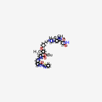 Cc1c(OC2CCC(CCCN3CCN(c4ccc5c(C6CCC(=O)NC6=O)nn(C)c5c4C)CC3)CC2)cccc1-c1ccc(N2CCc3cccc(C(=O)Nc4nc5ccccc5s4)c3C2)nc1C(=O)OC(C)(C)C